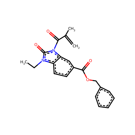 C=C(C)C(=O)n1c(=O)n(CC)c2ccc(C(=O)OCc3ccccc3)cc21